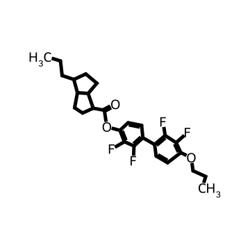 CCCOc1ccc(-c2ccc(OC(=O)C3CCC4C(CCC)CCC34)c(F)c2F)c(F)c1F